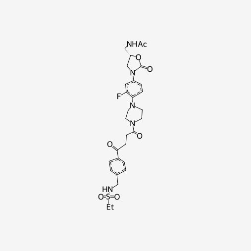 CCS(=O)(=O)NCc1ccc(C(=O)CCC(=O)N2CCN(c3ccc(N4C[C@H](CNC(C)=O)OC4=O)cc3F)CC2)cc1